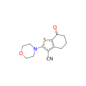 N#Cc1c(N2CCOCC2)sc2c1CCCC2=O